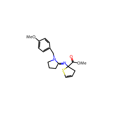 COC(=O)C1(/N=C2\CCCN2Cc2ccc(OC)cc2)CC=CS1